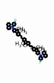 CC1(C)c2cc(/C=C/c3ccc4c(c3)C(C)(C)c3cc(N(c5ccc(F)cc5)c5cccc6ccccc56)ccc3-4)ccc2-c2ccc(/C=C/c3ccc4c(c3)C(C)(C)c3cc(N(c5ccc(F)cc5)c5cccc6ccccc56)ccc3-4)cc21